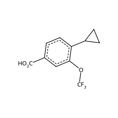 O=C(O)c1ccc(C2CC2)c(OC(F)(F)F)c1